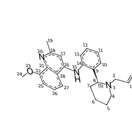 C=CCN1CCCC[C@H]1c1ccccc1Nc1cc(C)nc2c(OC)cccc12